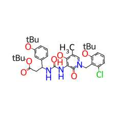 Cc1cn(Cc2c(Cl)cccc2OC(C)(C)C)c(=O)c(NC(=O)NC(CC(=O)OC(C)(C)C)c2cccc(OC(C)(C)C)c2)c1O